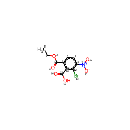 CCOC(=O)c1ccc([N+](=O)[O-])c(Br)c1C(=O)O